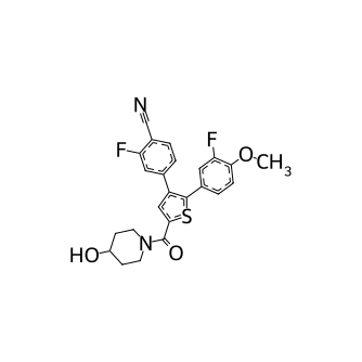 COc1ccc(-c2sc(C(=O)N3CCC(O)CC3)cc2-c2ccc(C#N)c(F)c2)cc1F